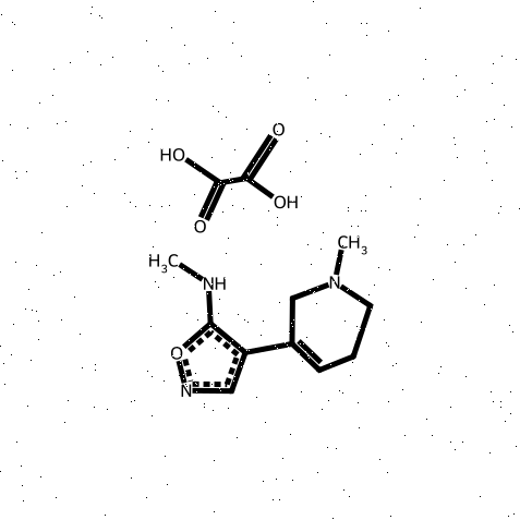 CNc1oncc1C1=CCCN(C)C1.O=C(O)C(=O)O